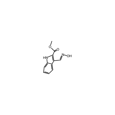 COC(=O)c1[nH]c2ccccc2c1C=NO